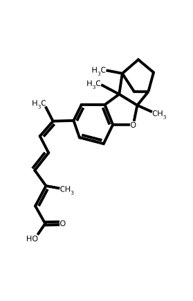 C/C(=C/C=C/C(C)=C/C(=O)O)c1ccc2c(c1)C1(C)C3(C)CCC(C3)C1(C)O2